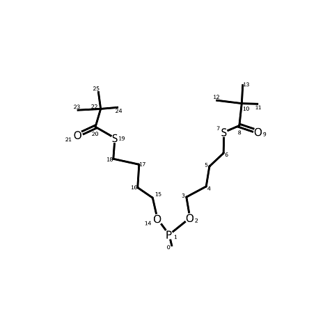 CP(OCCCCSC(=O)C(C)(C)C)OCCCCSC(=O)C(C)(C)C